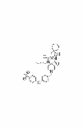 CCCCN1C(=O)[C@@H](CC2(O)CCCCC2)NC(=O)C12CCN(Cc1ccc(Oc3ccc(S(C)(=O)=O)cc3)cc1)CC2